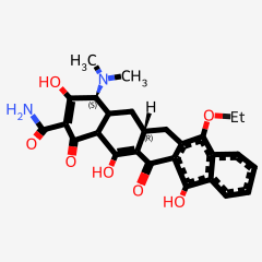 CCOc1c2c(c(O)c3ccccc13)C(=O)C1=C(O)C3C(=O)C(C(N)=O)=C(O)[C@@H](N(C)C)C3C[C@@H]1C2